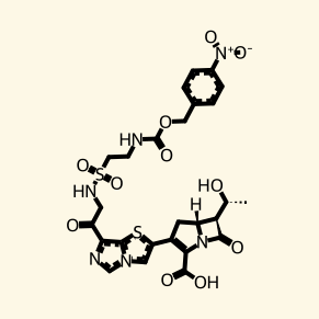 C[C@@H](O)[C@H]1C(=O)N2C(C(=O)O)=C(c3cn4cnc(C(=O)CNS(=O)(=O)CCNC(=O)OCc5ccc([N+](=O)[O-])cc5)c4s3)C[C@H]12